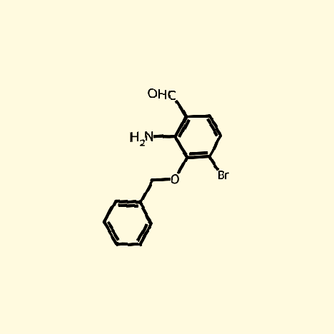 Nc1c(C=O)ccc(Br)c1OCc1ccccc1